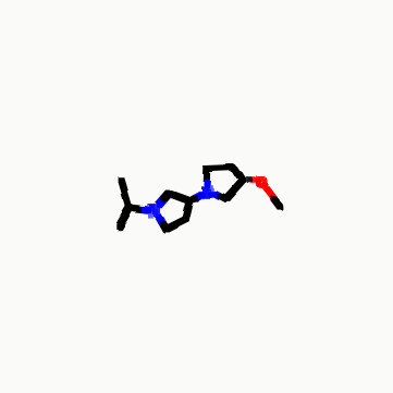 CO[C@H]1CCN([C@H]2CCN(C(C)C)C2)C1